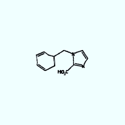 O=C(O)c1nccn1CC1C=CC=CC1